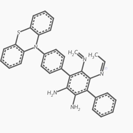 C=Nc1c(/N=C\C)c(-c2ccccc2)c(N)c(N)c1-c1ccc(N2c3ccccc3Sc3ccccc32)cc1